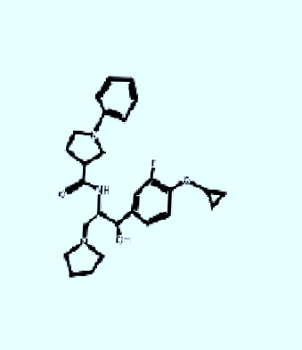 O=C(N[C@H](CN1CCCC1)[C@H](O)c1ccc(OC2CC2)c(F)c1)C1CCN(c2ccccc2)C1